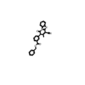 CC1=C(C#N)c2nc3ccccc3n2C(=O)C1c1cccc(C(=O)OCc2ccccc2)c1